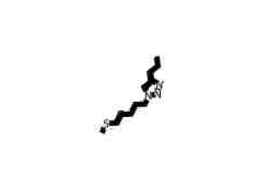 CCCc1cn(CCCCCSC)nn1